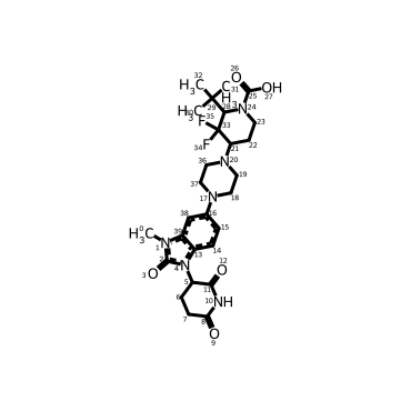 Cn1c(=O)n(C2CCC(=O)NC2=O)c2ccc(N3CCN(C4CCN(C(=O)O)C(C(C)(C)C)C4(F)F)CC3)cc21